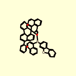 c1ccc(-c2ccc3c4c(cccc24)C2(c4cc(N(c5ccc6c(c5)oc5ccccc56)c5cccc6ccccc56)ccc4-c4cccc5cccc2c45)c2ccccc2-3)cc1